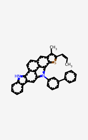 C/C=C\c1sc2c(cc3ccc4c5[nH]c6ccccc6c5cc5c4c3c2n5-c2cccc(-c3ccccc3)c2)c1C